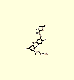 CNCCN(C)c1cc(F)ccc1Nc1cc(F)c(SNC2NC=C(Cl)S2)cc1Cl